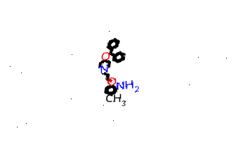 Cc1ccc(OCCCN2CCC(OC(c3ccccc3)c3ccccc3)CC2)c(N)c1